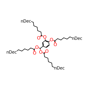 CCCCCCCCCCCCCCCC(=O)Oc1ccc(C(OC(=O)CCCCCCCCCCCCCCC)OC(=O)CCCCCCCCCCCCCCC)cc1OC(=O)CCCCCCCCCCCCCCC